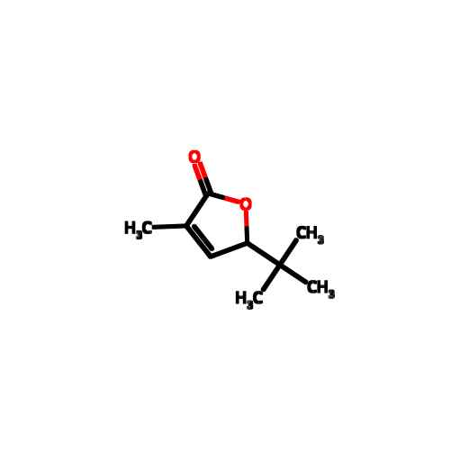 CC1=CC(C(C)(C)C)OC1=O